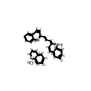 C(=Cc1ccc2ccccc2n1)C=C1C=Cc2ccccc2N1.Cl.c1ccc2ncccc2c1